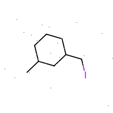 CC1CCCC(CI)C1